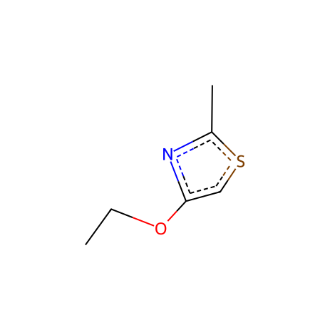 CCOc1csc(C)n1